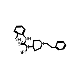 CCCN(C(=S)Nc1ccccc1N)C1CCN(CCc2ccccc2)CC1